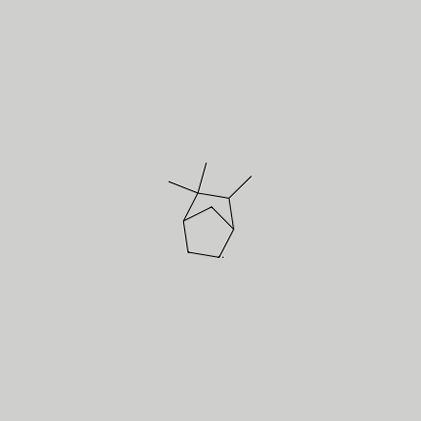 CC1C2[CH]CC(C2)C1(C)C